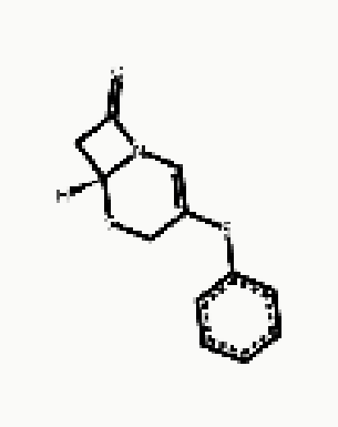 O=C1C[C@H]2SCC(Sc3ccccc3)=CN12